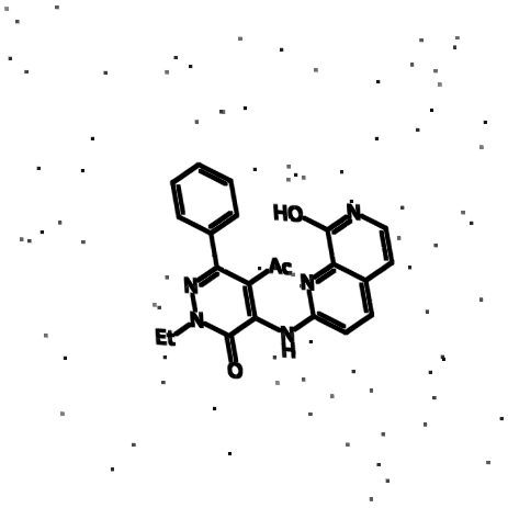 CCn1nc(-c2ccccc2)c(C(C)=O)c(Nc2ccc3ccnc(O)c3n2)c1=O